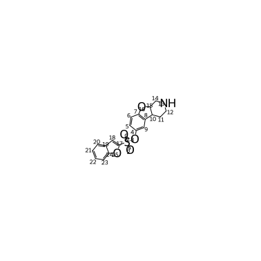 O=S(=O)(Oc1ccc2c(c1)C1CCNCC1O2)c1cc2ccccc2o1